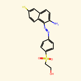 Nc1ccc2cc(S)ccc2c1/N=N/c1ccc(S(=O)(=O)CCO)cc1